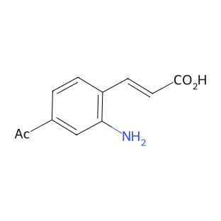 CC(=O)c1ccc(C=CC(=O)O)c(N)c1